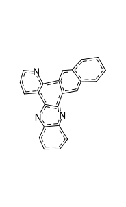 c1ccc2cc3c(cc2c1)c1ncccc1c1nc2ccccc2nc31